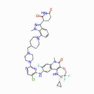 Cn1nc(C2CCC(=O)NC2=O)c2cccc(N3CCC(CN4CCN(c5ncc(Cl)c(Nc6cc7c8c(c(=O)n(C)c7cc6F)OCC(F)(F)[C@H](C6CC6)N8)n5)CC4)CC3)c21